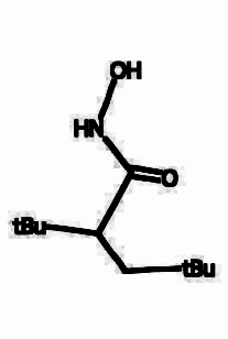 CC(C)(C)CC(C(=O)NO)C(C)(C)C